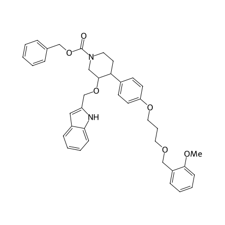 COc1ccccc1COCCCOc1ccc(C2CCN(C(=O)OCc3ccccc3)CC2OCc2cc3ccccc3[nH]2)cc1